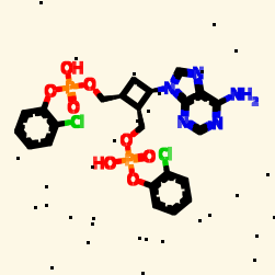 Nc1ncnc2c1ncn2[C@@H]1C[C@H](COP(=O)(O)Oc2ccccc2Cl)[C@@H]1COP(=O)(O)Oc1ccccc1Cl